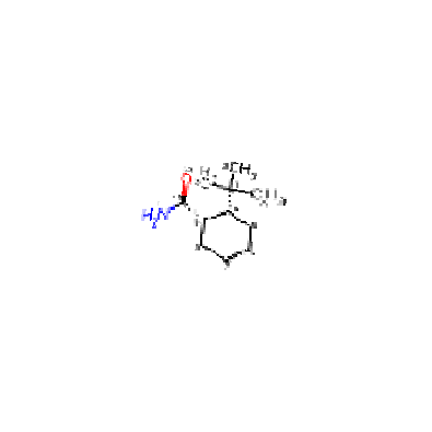 CC(C)(C)[C@@H]1CCCC[C@@H]1C(N)=O